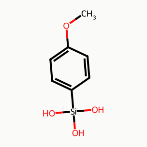 COc1ccc([Si](O)(O)O)cc1